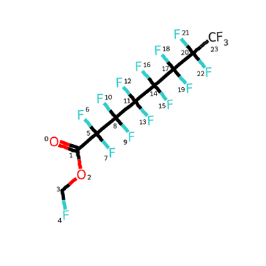 O=C(OCF)C(F)(F)C(F)(F)C(F)(F)C(F)(F)C(F)(F)C(F)(F)C(F)(F)F